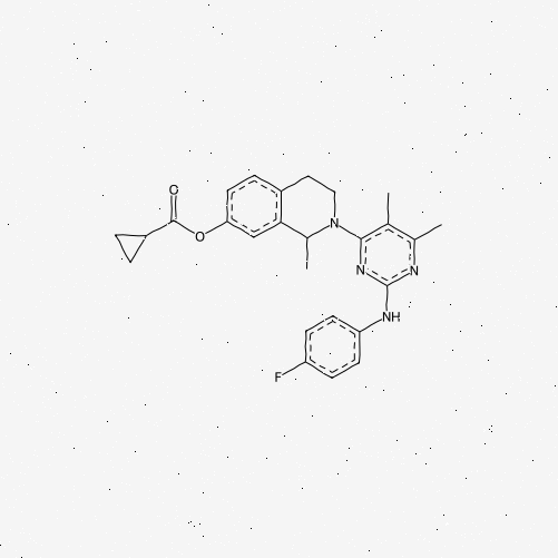 Cc1nc(Nc2ccc(F)cc2)nc(N2CCc3ccc(OC(=O)C4CC4)cc3C2C)c1C